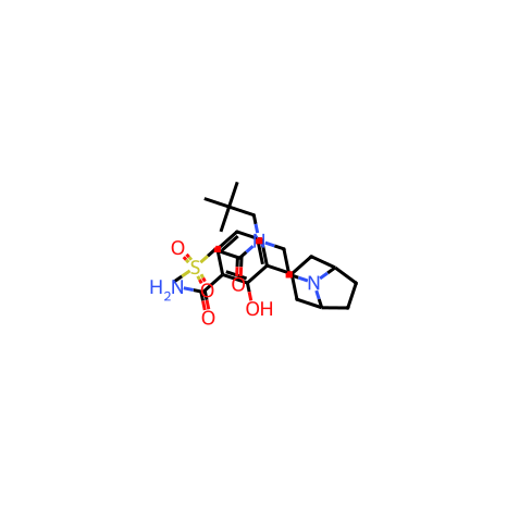 CC(C)(C)CN(CCN1C2CCC1CC(c1cccc(C(N)=O)c1O)C2)C(=O)CS(C)(=O)=O